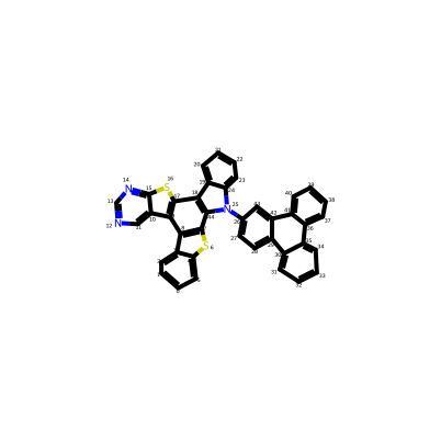 c1ccc2c(c1)sc1c2c2c3cncnc3sc2c2c3ccccc3n(-c3ccc4c5ccccc5c5ccccc5c4c3)c12